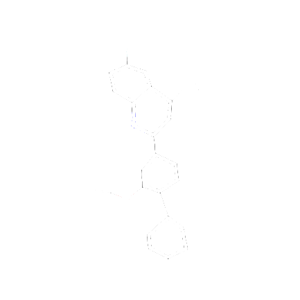 CCCCOc1cc(-c2cc(C(=O)O)c3cc(F)ccc3n2)ccc1-c1ccccc1